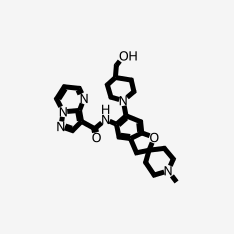 CN1CCC2(CC1)Cc1cc(NC(=O)c3cnn4cccnc34)c(N3CCC(CO)CC3)cc1O2